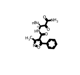 CCCC[C@H](NC(=O)c1c(C)noc1-c1ccccc1)C(=O)C(N)=O